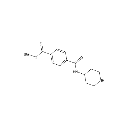 CC(C)(C)OC(=O)c1ccc(C(=O)NC2CCNCC2)cc1